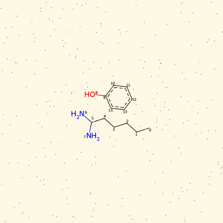 CCCCCC(N)N.Oc1ccccc1